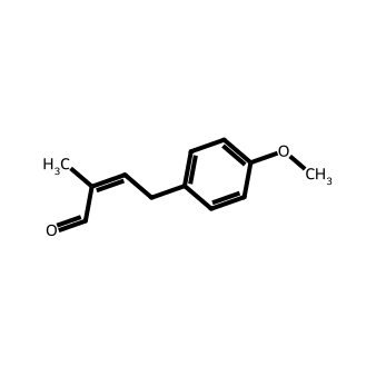 COc1ccc(CC=C(C)C=O)cc1